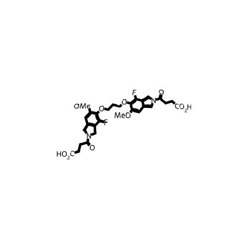 COc1cc2c(c(F)c1OCCCOc1c(OC)cc3cn(C(=O)CCC(=O)O)cc3c1F)CN(C(=O)CCC(=O)O)C2